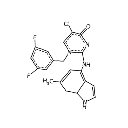 CC1=CC(Nc2nc(=O)c(Cl)cn2Cc2cc(F)cc(F)c2)=C2C=CNC2C1